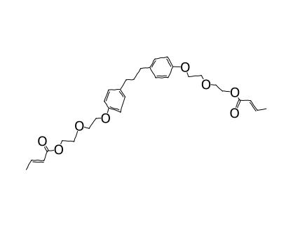 CC=CC(=O)OCCOCCOc1ccc(CCCc2ccc(OCCOCCOC(=O)C=CC)cc2)cc1